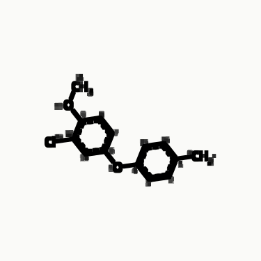 [CH2]c1ccc(Oc2ccc(OC)c(Cl)c2)cc1